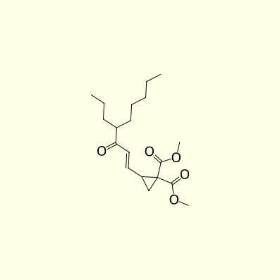 CCCCCC(CCC)C(=O)C=CC1CC1(C(=O)OC)C(=O)OC